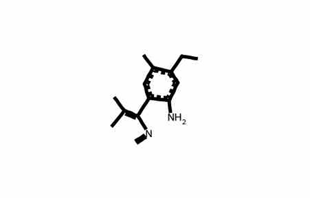 C=NC(=C(C)C)c1cc(C)c(CC)cc1N